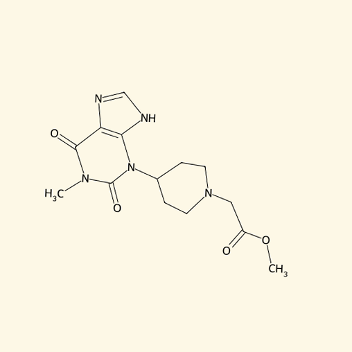 COC(=O)CN1CCC(n2c(=O)n(C)c(=O)c3nc[nH]c32)CC1